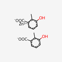 Cc1c(O)cccc1C(=O)[O-].Cc1c(O)cccc1C(=O)[O-].[Zn+2]